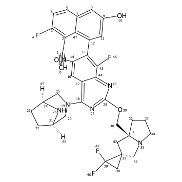 C#Cc1c(F)ccc2cc(O)cc(-c3c([N+](=O)[O-])cc4c(N5C[C@H]6CC[C@@H](C5)N6)nc(OC[C@@]56CCCN5C[C@@]5(CC5(F)F)C6)nc4c3F)c12